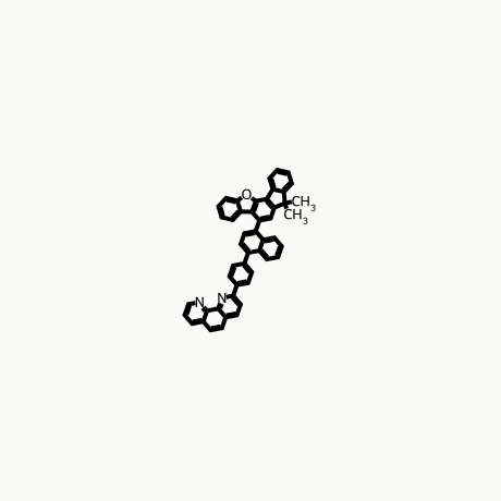 CC1(C)c2ccccc2-c2c1cc(-c1ccc(-c3ccc(-c4ccc5ccc6cccnc6c5n4)cc3)c3ccccc13)c1c2oc2ccccc21